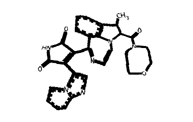 CC1c2cccc3c2N(C=CN=C3C2=C(c3cnc4ccccn34)C(=O)NC2=O)C1C(=O)N1CCOCC1